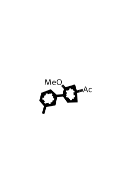 COc1cc(C(C)=O)ccc1-c1cccc(C)c1